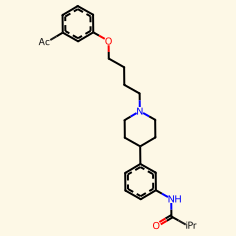 CC(=O)c1cccc(OCCCCN2CCC(c3cccc(NC(=O)C(C)C)c3)CC2)c1